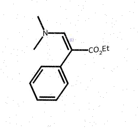 CCOC(=O)/C(=C/N(C)C)c1ccccc1